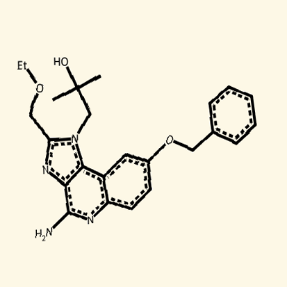 CCOCc1nc2c(N)nc3ccc(OCc4ccccc4)cc3c2n1CC(C)(C)O